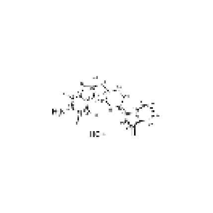 Cc1c(C)c2c(c(C)c1N)CC(C)(CN1CCC(c3c[nH]c4ccccc34)CC1)O2.Cl